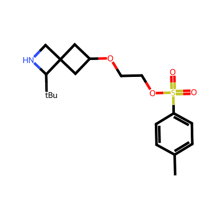 Cc1ccc(S(=O)(=O)OCCOC2CC3(CNC3C(C)(C)C)C2)cc1